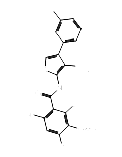 COc1c(Br)cc(Br)c(C(=O)Nc2scc(-c3cccc(Cl)c3)c2C(=O)O)c1Br